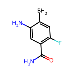 Bc1cc(F)c(C(N)=O)cc1N